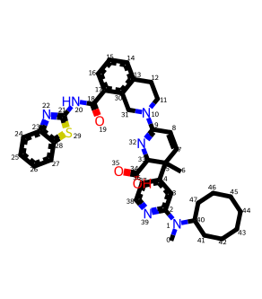 CN(c1cc(C2(C)C=CC(N3CCc4cccc(C(=O)Nc5nc6ccccc6s5)c4C3)=NC2C(=O)O)ccn1)C1CCCCCCC1